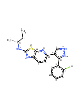 CC[C@@H](C)Nc1nc2ccc(-c3c[nH]nc3-c3ccccc3F)nc2s1